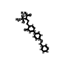 CS(=O)(=O)C(CCn1ccc(-c2ccc(OCc3cccnc3)cc2)cc1=O)C(N)=O